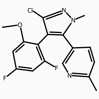 COc1cc(F)cc(F)c1-c1c(Cl)nn(C)c1-c1ccc(C)nc1